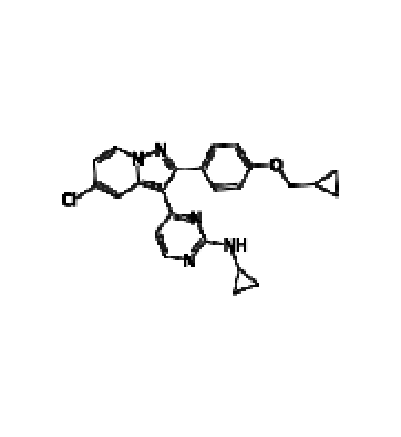 Clc1ccn2nc(-c3ccc(OCC4CC4)cc3)c(-c3ccnc(NC4CC4)n3)c2c1